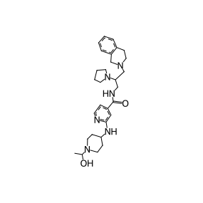 CC(O)N1CCC(Nc2cc(C(=O)NCC(CN3CCc4ccccc4C3)N3CCCC3)ccn2)CC1